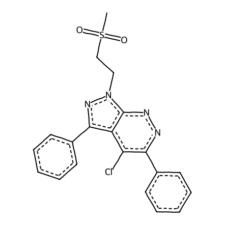 CS(=O)(=O)CCn1nc(-c2ccccc2)c2c(Cl)c(-c3ccccc3)nnc21